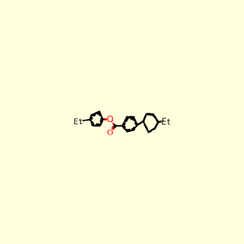 CCc1ccc(OC(=O)c2ccc(C3CCC(CC)CC3)cc2)cc1